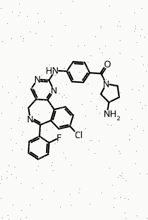 NC1CCN(C(=O)c2ccc(Nc3ncc4c(n3)-c3ccc(Cl)cc3C(c3ccccc3F)=NC4)cc2)C1